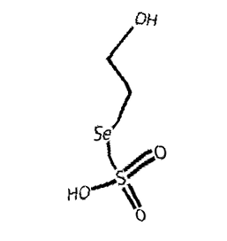 O=S(=O)(O)[Se]CCO